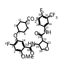 COc1cc(F)c(OC2CCC(C(=O)O)CC2)cc1C(=O)NC1COCC1C(=O)Nc1ccc(F)c(C(F)(F)F)c1